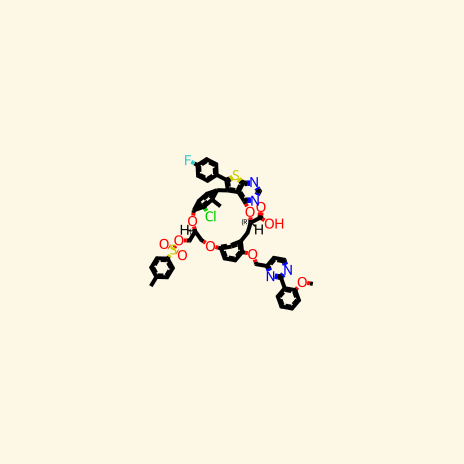 COc1ccccc1-c1nccc(COc2ccc3cc2C[C@H](C(=O)O)Oc2ncnc4sc(-c5ccc(F)cc5)c(c24)-c2ccc(c(Cl)c2C)O[C@H](COS(=O)(=O)c2ccc(C)cc2)CO3)n1